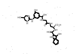 O=C(CNC(O)c1cc(O)cc(NC2=NCC(O)CN2)c1)NC[C@H](NC(O)c1[nH]c2ccccc2c1O)C(=O)O